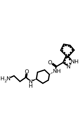 NCCC(=O)N[C@H]1CC[C@H](NC(=O)c2n[nH]c3ccccc23)CC1